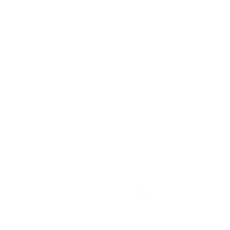 c1ccc2c(c1)Cc1ccc3c(c1-2)Cc1c-3ccc2sc3ccccc3c12